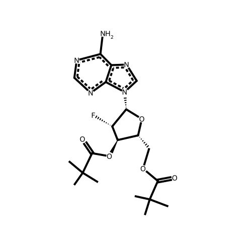 CC(C)(C)C(=O)OC[C@H]1O[C@@H](n2cnc3c(N)ncnc32)[C@@H](F)[C@@H]1OC(=O)C(C)(C)C